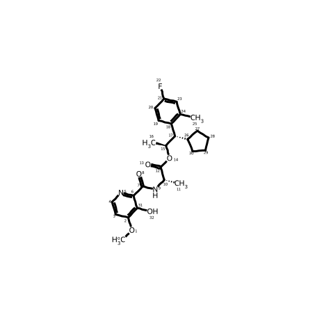 COc1ccnc(C(=O)N[C@@H](C)C(=O)O[C@@H](C)[C@H](c2ccc(F)cc2C)C2CCCC2)c1O